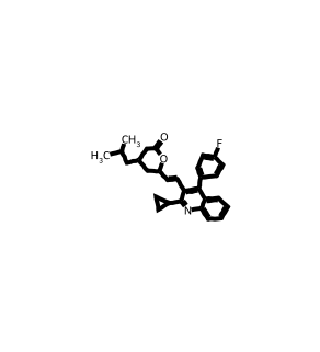 CC(C)CC1CC(=O)OC(/C=C/c2c(C3CC3)nc3ccccc3c2-c2ccc(F)cc2)C1